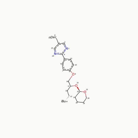 CCCCCCCCCCc1cnc(-c2ccc(OCC(CC[C@@H](C)CC)O[C@@H]3CCCCO3)cc2)nc1